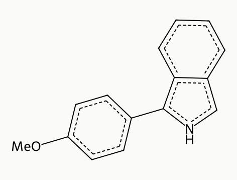 COc1ccc(-c2[nH]cc3ccccc23)cc1